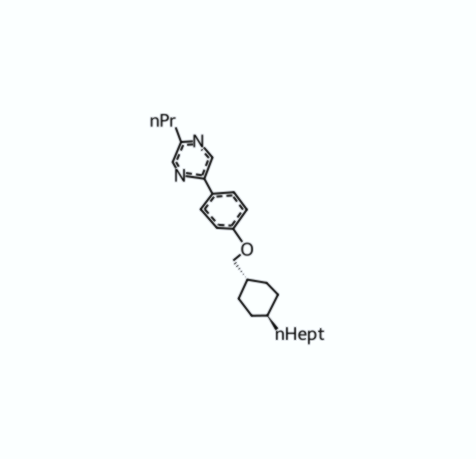 CCCCCCC[C@H]1CC[C@H](COc2ccc(-c3cnc(CCC)cn3)cc2)CC1